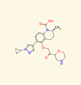 C[C@H]1CCc2c(ccc(-c3cnn(C4CC4)c3)c2OCC(=O)C2CNCCO2)N1C(=O)O